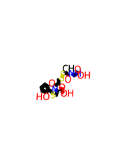 CC(SSCCC(=O)N1C(c2ccccc2O)SC[C@H]1C(=O)O)C(=O)NCC(=O)O